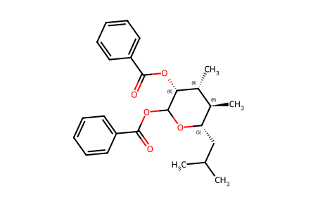 CC(C)C[C@@H]1OC(OC(=O)c2ccccc2)[C@H](OC(=O)c2ccccc2)[C@H](C)[C@H]1C